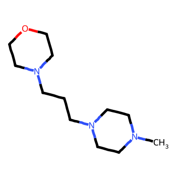 CN1CCN(CCCN2CCOCC2)CC1